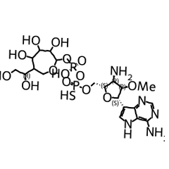 CO[C@@H]1[C@H](N)[C@@H](COP(=O)(S)OP(=O)(O)OC2OCC([C@@H](O)CO)C(O)C(O)C2O)O[C@H]1c1c[nH]c2c(N)ncnc12